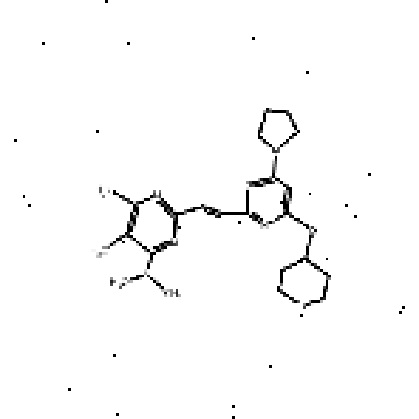 Cc1nc(/C=C/c2nc(OC3CCOCC3)cc(N3CCCC3)n2)nc(N(C)C)c1C